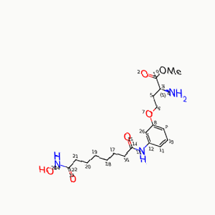 COC(=O)[C@@H](N)CCOc1cccc(NC(=O)CCCCCCC(=O)NO)c1